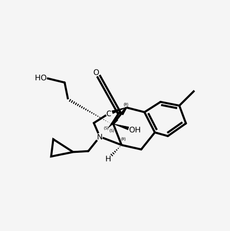 Cc1ccc2c(c1)[C@]13CCN(CC4CC4)[C@H](C2)[C@]1(O)C[C@H](CCO)C(=O)C3